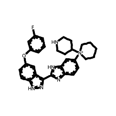 Fc1cccc(Oc2ccc3[nH]nc(-c4nc5ccc([N+]6(C7CCNCC7)CCCCC6)cc5[nH]4)c3c2)c1